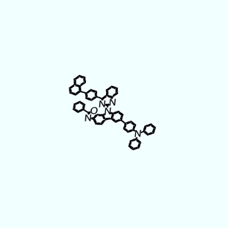 c1ccc(-c2nc3ccc4c5cc(-c6ccc(N(c7ccccc7)c7ccccc7)cc6)ccc5n(-c5nc(-c6ccc(-c7cccc8ccccc78)cc6)c6ccccc6n5)c4c3o2)cc1